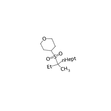 CCCCCCCC(C)(CC)S(=O)(=O)C1CCOCC1